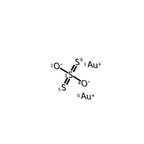 [Au+].[Au+].[O-]S([O-])(=S)=S